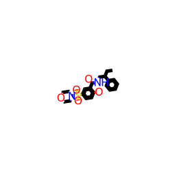 CCC(CNC(=O)c1cc(S(=O)(=O)N2CCOCC2)ccc1OC)c1ccccc1